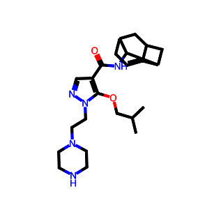 CC(C)COc1c(C(=O)NC2C3CC=C4C(C3)CC42)cnn1CCN1CCNCC1